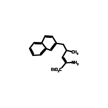 CCOC(=O)C(N)=CC(C)Cc1ccc2ccccc2c1